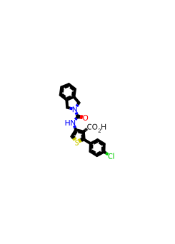 O=C(O)c1c(NC(=O)N2Cc3ccccc3C2)csc1-c1ccc(Cl)cc1